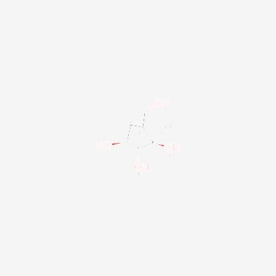 OC[C@]1([SeH])C[C@H](O)[C@@H](O)[C@@H]1O